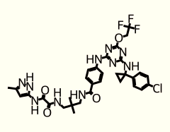 Cc1cc(NC(=O)C(=O)NCC(C)(C)CNC(=O)c2ccc(Nc3nc(NC4(c5ccc(Cl)cc5)CC4)nc(OCC(F)(F)F)n3)cc2)[nH]n1